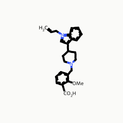 C=CCn1cc(C2CCN(Cc3cccc(C(=O)O)c3OC)CC2)c2ccccc21